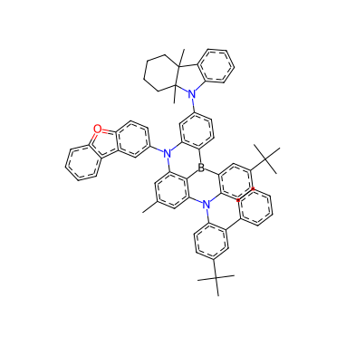 Cc1cc2c3c(c1)N(c1ccc(C(C)(C)C)cc1-c1ccccc1)c1ccc(C(C)(C)C)cc1B3c1ccc(N3c4ccccc4C4(C)CCCCC34C)cc1N2c1ccc2oc3ccccc3c2c1